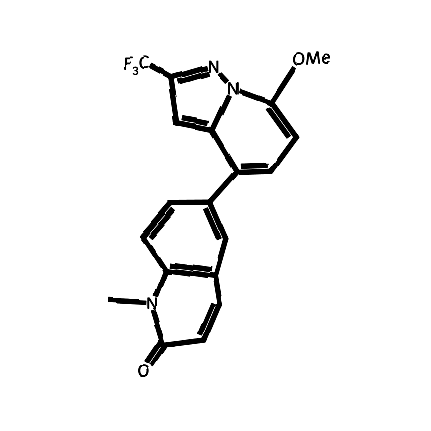 COc1ccc(-c2ccc3c(ccc(=O)n3C)c2)c2cc(C(F)(F)F)nn12